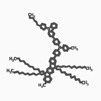 CCCCCCCCCCCCC1(CCCCCCCCCCCC)c2cc(C)ccc2-c2cc3c(cc21)-c1ccc(-c2ccc(N(c4ccc(C)cc4)c4ccc(-c5ccc6c(c5)c5ccccc5n6-c5ccc(CCCCCC)cc5)cc4)cc2)cc1C3(CCCCCCCCCCCC)CCCCCCCCCCCC